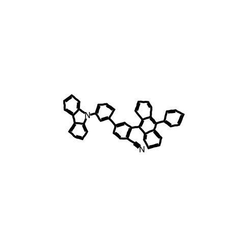 N#Cc1ccc(-c2cccc(-n3c4ccccc4c4ccccc43)c2)cc1-c1c2ccccc2c(-c2ccccc2)c2ccccc12